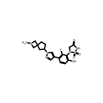 CN1CC2(CCC(n3cc(-c4ccc(O)c(N5CC(=O)NS5(=O)=O)c4F)cn3)C2)C1